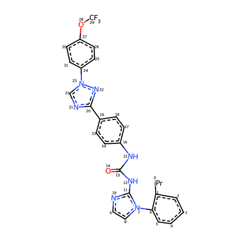 CC(C)c1ccccc1-n1ccnc1NC(=O)Nc1ccc(-c2ncn(-c3ccc(OC(F)(F)F)cc3)n2)cc1